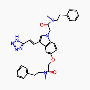 CN(CCc1ccccc1)C(=O)COc1ccc2c(c1)c(C=Cc1nnn[nH]1)cn2CC(=O)N(C)CCc1ccccc1